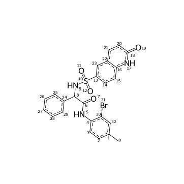 Cc1ccc(NC(=O)C(NS(=O)(=O)c2ccc3[nH]c(=O)ccc3c2)c2ccccc2)c(Br)c1